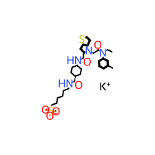 CCN(C(=O)Cn1c(C(=O)N[C@H]2CC[C@H](C(=O)NCCCCCCS(=O)(=O)[O-])CC2)cc2sccc21)c1cccc(C)c1.[K+]